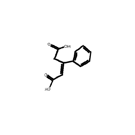 O=C(O)C=C(CC(=O)O)c1ccccc1